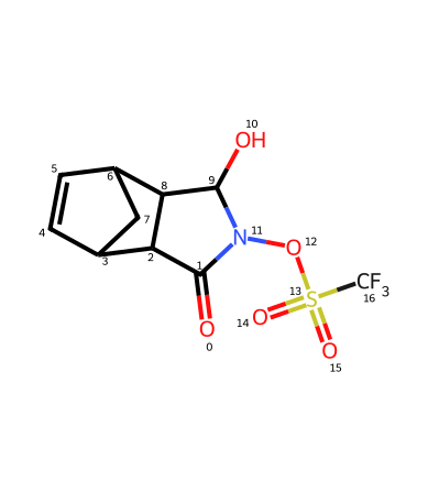 O=C1C2C3C=CC(C3)C2C(O)N1OS(=O)(=O)C(F)(F)F